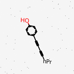 CCCC#CC#Cc1ccc(O)cc1